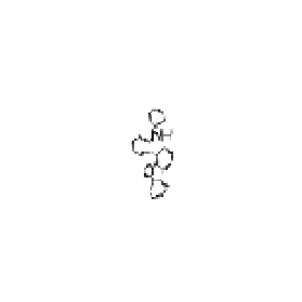 c1ccc(Nc2ccccc2-c2cccc3c2oc2ccccc23)cc1